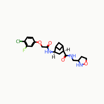 O=C(COc1ccc(Cl)c(F)c1)N[C@@H]1C[C@H](C(=O)NCC2CCON2)C2CC1C2